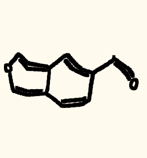 O=[C]c1ccc2cocc2c1